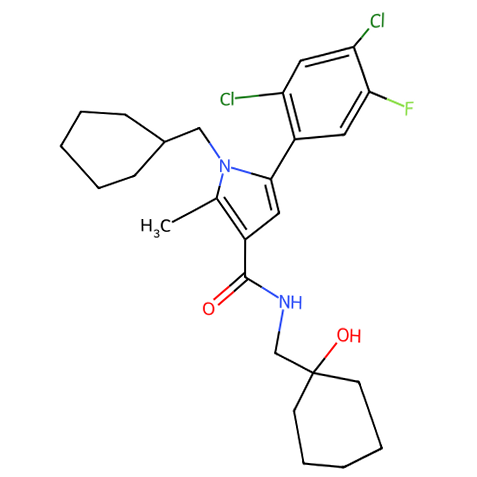 Cc1c(C(=O)NCC2(O)CCCCC2)cc(-c2cc(F)c(Cl)cc2Cl)n1CC1CCCCC1